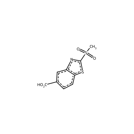 CS(=O)(=O)c1nc2cc(C(=O)O)ccc2s1